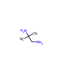 N#CC(N)(C#N)CN